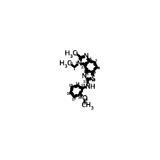 CCn1c(C)nc2ccc3sc(Nc4ccccc4OC)nc3c21